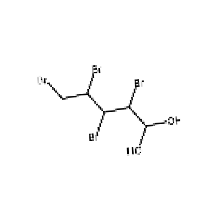 OC(O)C(Br)C(Br)C(Br)CBr